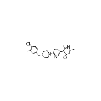 Cc1cc(=O)n(-c2ccc(N3CCC(Cc4ccc(Cl)c(C)c4)CC3)nc2)c(C)n1